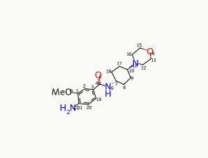 COc1cc(C(=O)N[C@H]2CC[C@H](N3CCOCC3)CC2)ccc1N